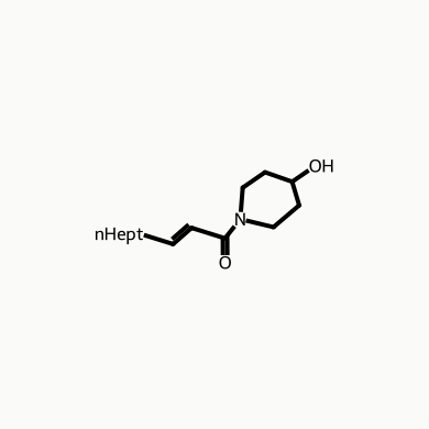 CCCCCCCC=CC(=O)N1CCC(O)CC1